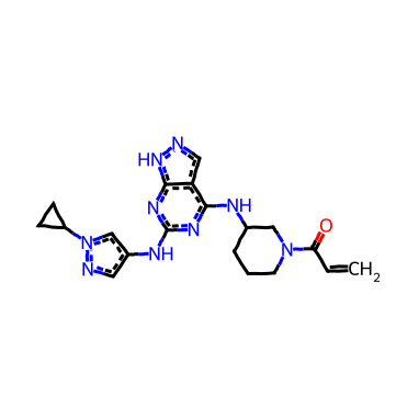 C=CC(=O)N1CCCC(Nc2nc(Nc3cnn(C4CC4)c3)nc3[nH]ncc23)C1